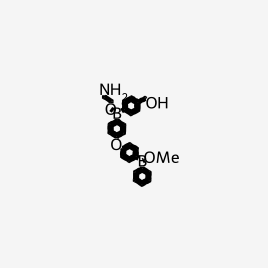 COB(c1ccccc1)c1ccc(Oc2ccc(B(OCCN)c3ccc(CO)cc3)cc2)cc1